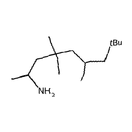 CC(N)CC(C)(C)CC(C)CC(C)(C)C